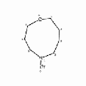 CC(C)N1CCCCOCCC1